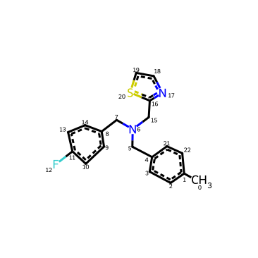 Cc1ccc(CN(Cc2ccc(F)cc2)Cc2nccs2)cc1